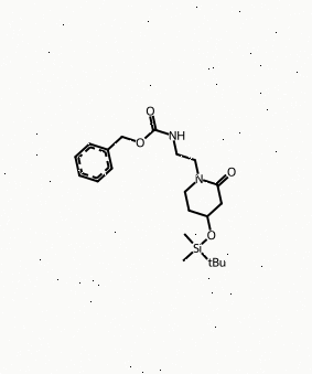 CC(C)(C)[Si](C)(C)OC1CCN(CCNC(=O)OCc2ccccc2)C(=O)C1